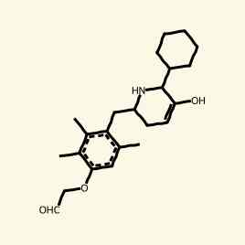 Cc1cc(OCC=O)c(C)c(C)c1CC1CC=C(O)C(C2CCCCC2)N1